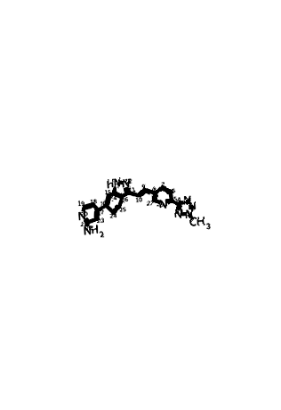 Cn1nnc(-c2ccc(C=Cc3n[nH]c4cc(-c5ccnc(N)c5)ccc34)cn2)n1